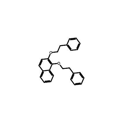 c1ccc(CCOc2ccc3ccccc3c2OCCc2ccccc2)cc1